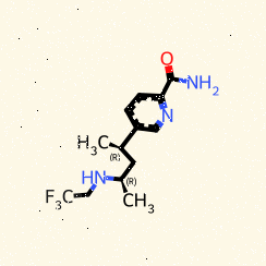 C[C@H](C[C@@H](C)c1ccc(C(N)=O)nc1)NCC(F)(F)F